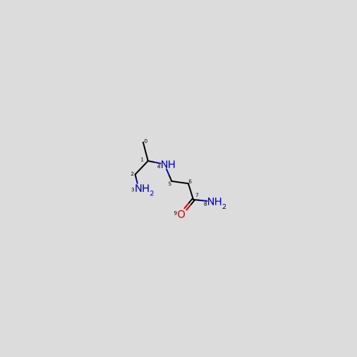 CC(CN)NCCC(N)=O